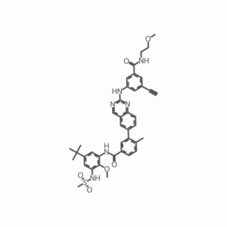 C#Cc1cc(Nc2ncc3cc(-c4cc(C(=O)Nc5cc(C(C)(C)C)cc(NS(C)(=O)=O)c5OC)ccc4C)ccc3n2)cc(C(=O)NCCOC)c1